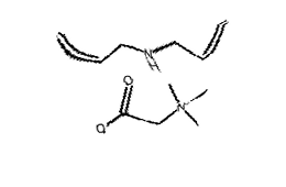 C=CCNCC=C.C[N+](C)(C)CC(=O)[O-]